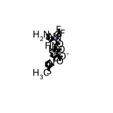 CSc1ccc[n+](CC2=C(C(=O)[O-])N3C(=O)C(NC(=O)/C(=N/OC(F)F)c4csc(N)n4)[C@H]3SC2)c1